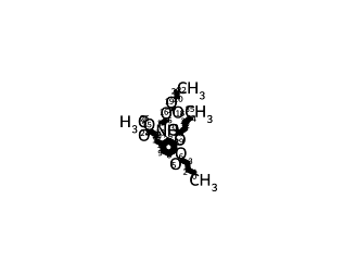 CCCCC(=O)Oc1ccc(C[C@H](NCCOC(=O)OCCC)C(=O)OC)cc1OC(=O)CCCC